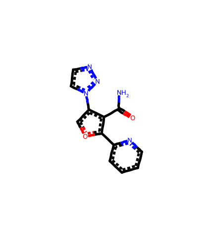 NC(=O)c1c(-n2ccnn2)coc1-c1ccccn1